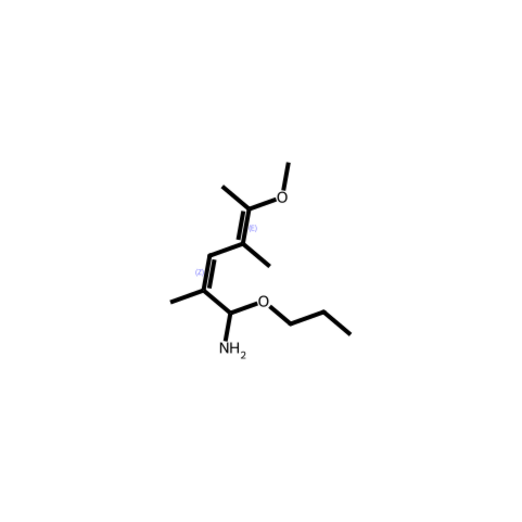 CCCOC(N)/C(C)=C\C(C)=C(/C)OC